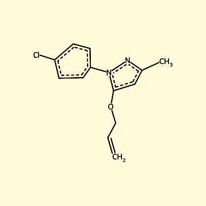 C=CCOc1cc(C)nn1-c1ccc(Cl)cc1